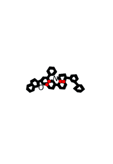 c1ccc(-c2cccc(-c3ccc(N(c4ccccc4-c4ccccc4)c4ccccc4-c4ccc5oc6c7ccccc7ccc6c5c4)cc3)c2)cc1